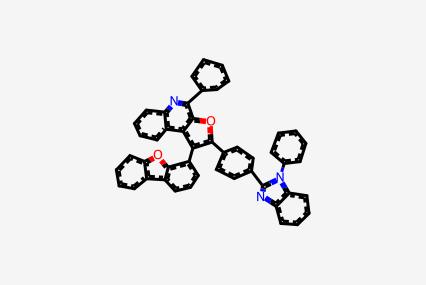 c1ccc(-c2nc3ccccc3c3c(-c4cccc5c4oc4ccccc45)c(-c4ccc(-c5nc6ccccc6n5-c5ccccc5)cc4)oc23)cc1